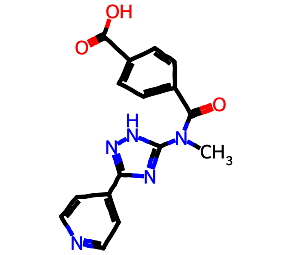 CN(C(=O)c1ccc(C(=O)O)cc1)c1nc(-c2ccncc2)n[nH]1